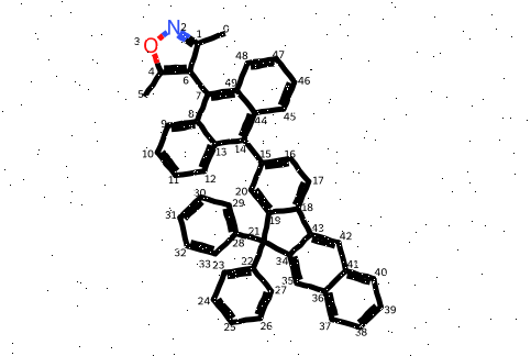 Cc1noc(C)c1-c1c2ccccc2c(-c2ccc3c(c2)C(c2ccccc2)(c2ccccc2)c2cc4ccccc4cc2-3)c2ccccc12